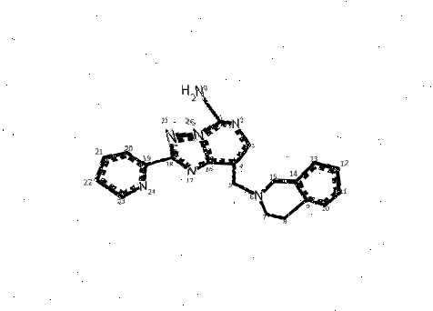 Nc1ncc(CN2CCc3ccccc3C2)c2nc(-c3ccccn3)nn12